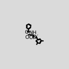 Cc1cc(C)cc([C@@H](C)OC[C@@](O)(C=O)NC(=O)c2ccccc2)c1